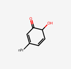 CCCC1=CC(=O)C(O)C=C1